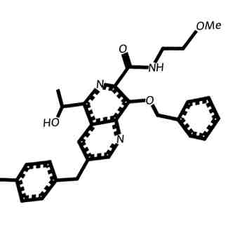 COCCNC(=O)c1nc(C(C)O)c2cc(Cc3ccc(F)cc3)cnc2c1OCc1ccccc1